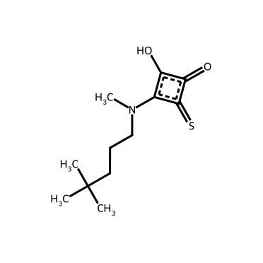 CN(CCCC(C)(C)C)c1c(O)c(=O)c1=S